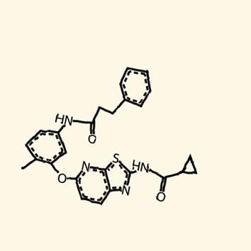 Cc1ccc(NC(=O)CCc2ccccc2)cc1Oc1ccc2nc(NC(=O)C3CC3)sc2n1